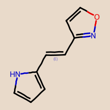 C(=C\c1ccc[nH]1)/c1ccon1